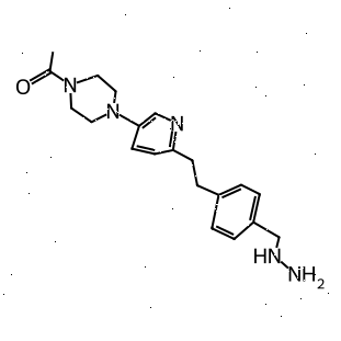 CC(=O)N1CCN(c2ccc(CCc3ccc(CNN)cc3)nc2)CC1